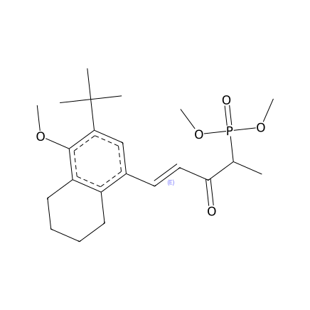 COc1c(C(C)(C)C)cc(/C=C/C(=O)C(C)P(=O)(OC)OC)c2c1CCCC2